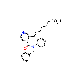 O=C(O)CCCCC=C1c2cnccc2C(=O)N(Cc2ccccc2)c2ccccc21